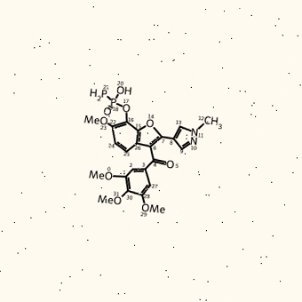 COc1cc(C(=O)c2c(-c3cnn(C)c3)oc3c(OP(=O)(O)P)c(OC)ccc23)cc(OC)c1OC